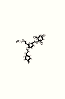 O=C(O)C=Cc1nc(CSc2c(Cl)cc(Cl)cc2Cl)ccc1OCCc1ccc(F)cc1